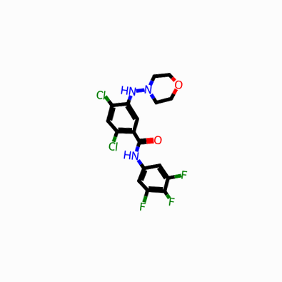 O=C(Nc1cc(F)c(F)c(F)c1)c1cc(NN2CCOCC2)c(Cl)cc1Cl